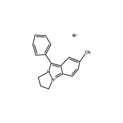 N#Cc1ccc2c(c1)c(-c1ccccc1)n1[n+]2CCC1.[Br-]